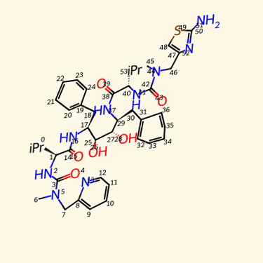 CC(C)[C@H](NC(=O)N(C)Cc1ccccn1)C(=O)N[C@@H](Cc1ccccc1)[C@H](O)[C@@H](O)[C@H](Cc1ccccc1)NC(=O)[C@@H](NC(=O)N(C)Cc1csc(N)n1)C(C)C